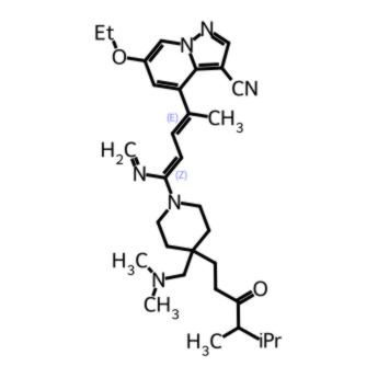 C=N/C(=C\C=C(/C)c1cc(OCC)cn2ncc(C#N)c12)N1CCC(CCC(=O)C(C)C(C)C)(CN(C)C)CC1